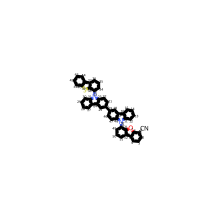 N#Cc1cccc2c1oc1c(-n3c4ccccc4c4cc(-c5ccc6c(c5)c5ccccc5n6-c5cccc6c5sc5ccccc56)ccc43)cccc12